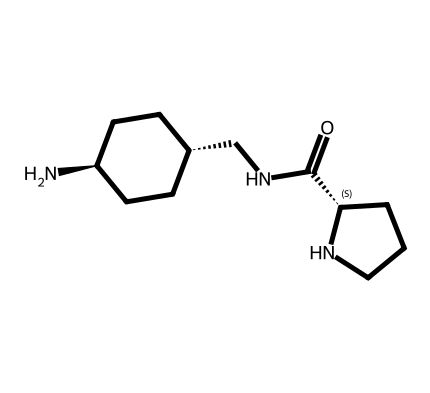 N[C@H]1CC[C@H](CNC(=O)[C@@H]2CCCN2)CC1